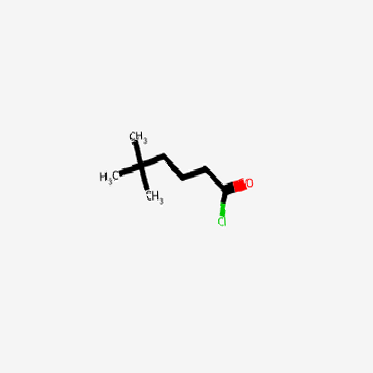 CC(C)(C)CCCC(=O)Cl